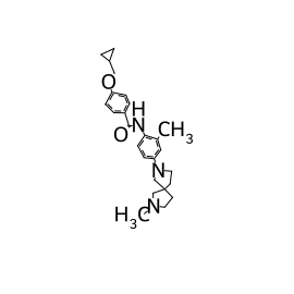 Cc1cc(N2CCC3(CCN(C)C3)C2)ccc1NC(=O)c1ccc(OCC2CC2)cc1